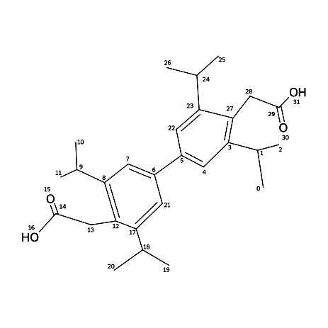 CC(C)c1cc(-c2cc(C(C)C)c(CC(=O)O)c(C(C)C)c2)cc(C(C)C)c1CC(=O)O